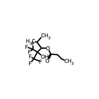 CCCC(=O)OC(C(C)C)C(O)(C(F)(F)F)C(F)(F)F